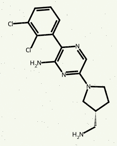 NC[C@H]1CCN(c2cnc(-c3cccc(Cl)c3Cl)c(N)n2)C1